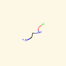 NCCNOCl